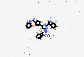 O=C1Nc2ccccc2Oc2cc(-c3cc(N[C@H]4C5CCC6CC5[C@@]64C(=O)O)nc(-c4c[nH]c5c(F)cc(F)cc45)n3)ccc21